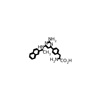 C[C@@H](Nc1cc(-c2ccc(CC(N)C(=O)O)cc2)nc(N)n1)c1ccc2ccccc2c1